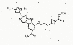 CCn1nc(C)cc1-c1ncc2c(n1)[nH]c1c(OCCCC3CN(C(=O)OC(C)(C)C)C3)cc(C(N)=O)cc12